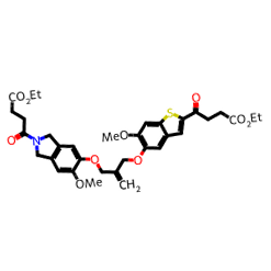 C=C(COc1cc2c(cc1OC)CN(C(=O)CCC(=O)OCC)C2)COc1cc2cc(C(=O)CCC(=O)OCC)sc2cc1OC